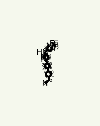 N#CCC1CCC(c2ccc(-c3ccc(Nc4ccc(C(F)(F)F)nc4)nn3)cc2)CC1